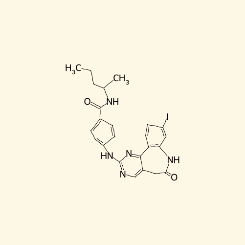 CCCC(C)NC(=O)c1ccc(Nc2ncc3c(n2)-c2ccc(I)cc2NC(=O)C3)cc1